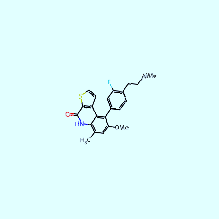 CNCCc1ccc(-c2c(OC)cc(C)c3[nH]c(=O)c4sccc4c23)cc1F